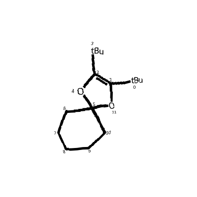 CC(C)(C)C1=C(C(C)(C)C)OC2(CCCCC2)O1